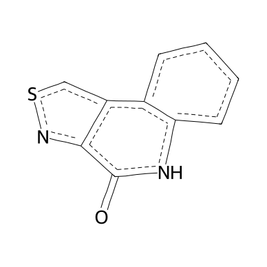 O=c1[nH]c2ccccc2c2csnc12